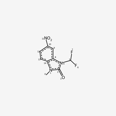 Cn1c(=O)n(C(F)F)c2cc([N+](=O)[O-])ccc21